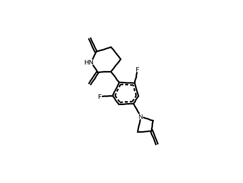 C=C1CN(c2cc(F)c(C3CCC(=C)NC3=C)c(F)c2)C1